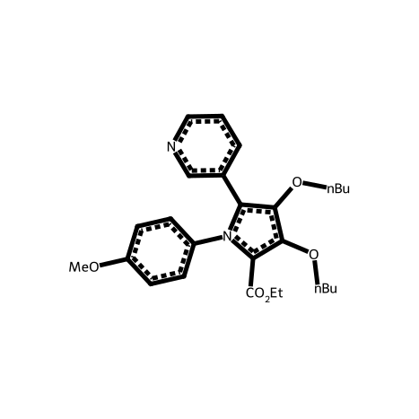 CCCCOc1c(OCCCC)c(-c2cccnc2)n(-c2ccc(OC)cc2)c1C(=O)OCC